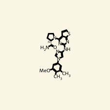 COc1cc(-n2cnc(Nc3nc(N4CCC[C@H]4C(N)=O)c4ccsc4n3)c2)cc(C)c1C